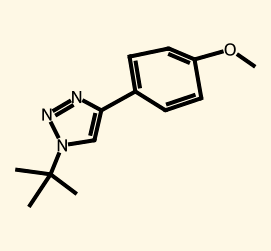 COc1ccc(-c2cn(C(C)(C)C)nn2)cc1